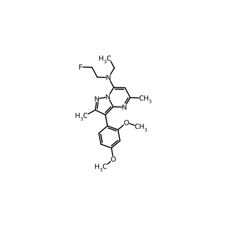 CCN(CCF)c1cc(C)nc2c(-c3ccc(OC)cc3OC)c(C)nn12